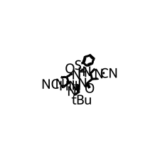 CC(C)(C)c1cc(NC(=O)C2CCN(C#N)C2)[nH]n1.N#CN1CCC(C(=O)Nc2nc3ccccc3s2)C1